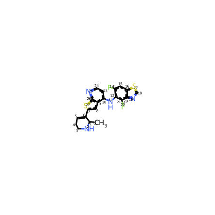 CC1NCCC=C1c1cc2c(Nc3c(F)cc4scnc4c3F)ccnc2s1